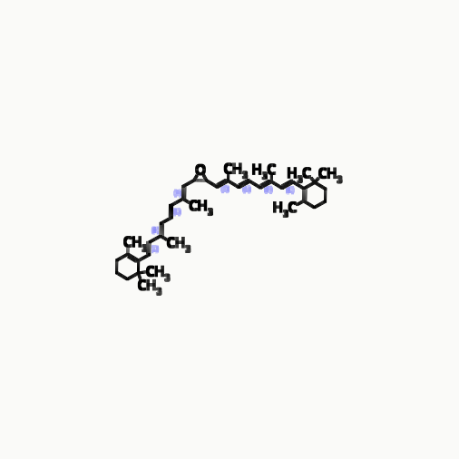 CC1=C(/C=C/C(C)=C/C=C/C(C)=C/C2OC2/C=C(C)/C=C/C=C(C)/C=C/C2=C(C)CCCC2(C)C)C(C)(C)CCC1